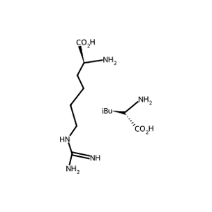 CC[C@H](C)[C@H](N)C(=O)O.N=C(N)NCCCC[C@H](N)C(=O)O